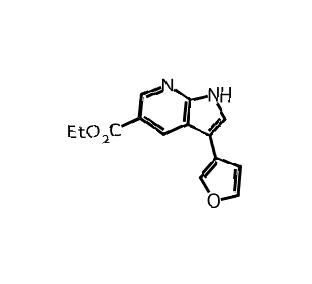 CCOC(=O)c1cnc2[nH]cc(-c3ccoc3)c2c1